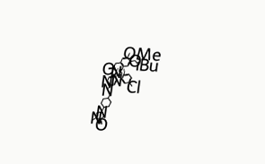 CCC(C)Oc1cc2c(cc1OC)CC(=O)N(c1cnc(N(C)CC3CCC(N4CC(=O)N(C)C4)CC3)cn1)[C@H]2c1ccc(Cl)cc1